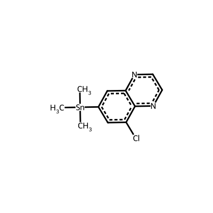 [CH3][Sn]([CH3])([CH3])[c]1cc(Cl)c2nccnc2c1